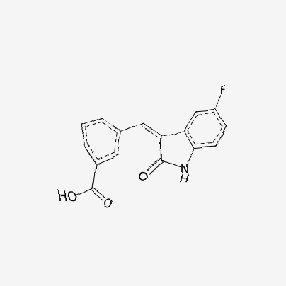 O=C1Nc2ccc(F)cc2C1=Cc1cccc(C(=O)O)c1